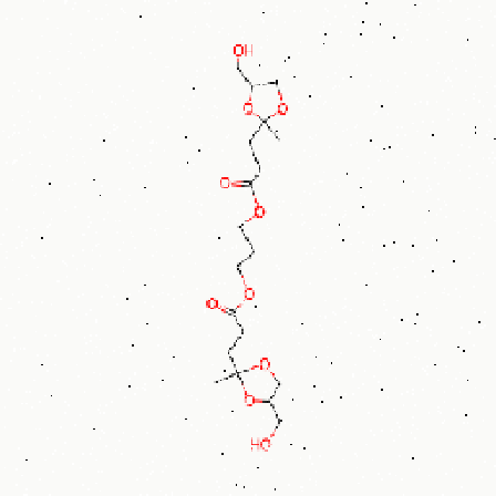 CC1(CCC(=O)OCCCOC(=O)CCC2(C)OCC(CO)O2)OCC(CO)O1